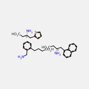 NCc1ccccc1CCCC(=O)O.N[C@@H](CC(=O)O)Cc1cccs1.N[C@H](CC(=O)O)Cc1cccc2ccccc12